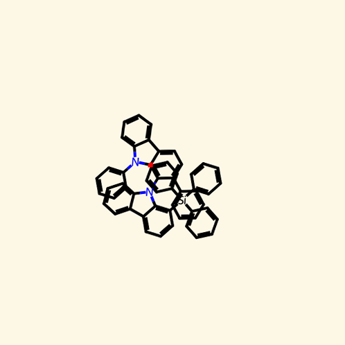 c1ccc(-c2ccc3c4ccccc4n(-c4ccccc4)c3c2-n2c3ccccc3c3cccc([Si](c4ccccc4)(c4ccccc4)c4ccccc4)c32)cc1